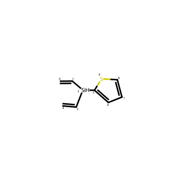 C=C[SiH](C=C)c1cccs1